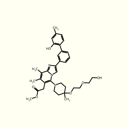 COC(=O)Cc1c(C)c(C)c2nc(-c3cccc(-c4ccc(C)cc4O)c3)cn2c1N1CCC(C)(OCCOCCO)CC1